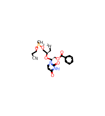 [2H]C[C@H](COP(C)OCCC#N)O[C@H](COC(=O)c1ccccc1)n1ccc(=O)[nH]c1=O